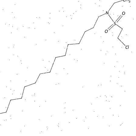 CCCCCCCCCCCCCCCCN(CC)S(=O)(=O)CCCl